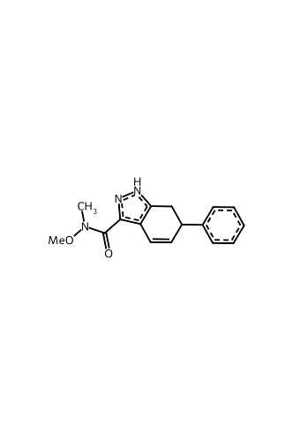 CON(C)C(=O)c1n[nH]c2c1C=CC(c1ccccc1)C2